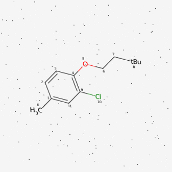 Cc1ccc(OCCC(C)(C)C)c(Cl)c1